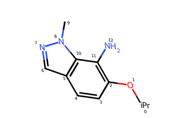 CC(C)Oc1ccc2cnn(C)c2c1N